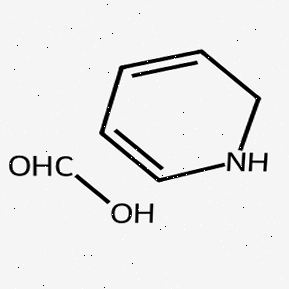 C1=CCNC=C1.O=CO